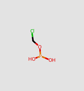 OP(O)OCCl